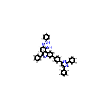 N=C1/C(=N\Nc2ccccc2)C=Cc2c(-c3ccccc3)nc3cc(-c4ccc(-c5cc(-c6ccccc6)nc(-c6ccccc6)n5)cc4)ccc3c21